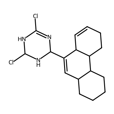 ClC1=NC(C2=CC3CCCCC3C3CCC=CC23)NC(Cl)N1